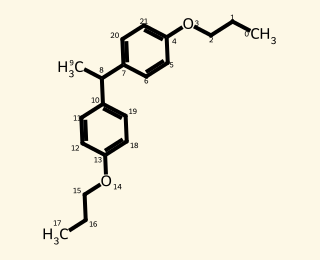 CCCOc1ccc(C(C)c2ccc(OCCC)cc2)cc1